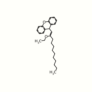 CCCCCCCCCCC(=CC1c2ccccc2Oc2ccccc21)OCC